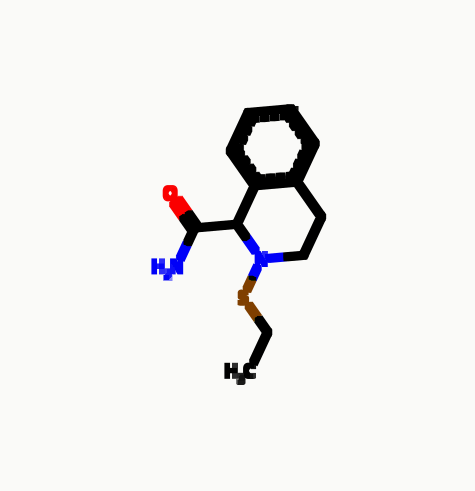 CCSN1CCc2c[c]ccc2C1C(N)=O